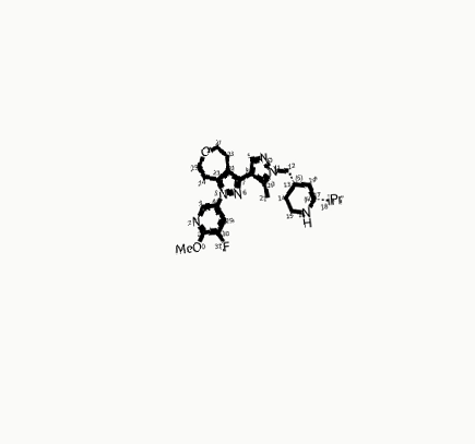 COc1ncc(-n2nc(-c3cnn(C[C@H]4CCN[C@@H](C(C)C)C4)c3C)c3c2CCOCC3)cc1F